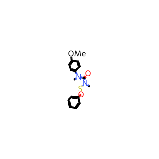 COc1ccc(N(C)C(=O)N(C)SOc2ccccc2)cc1